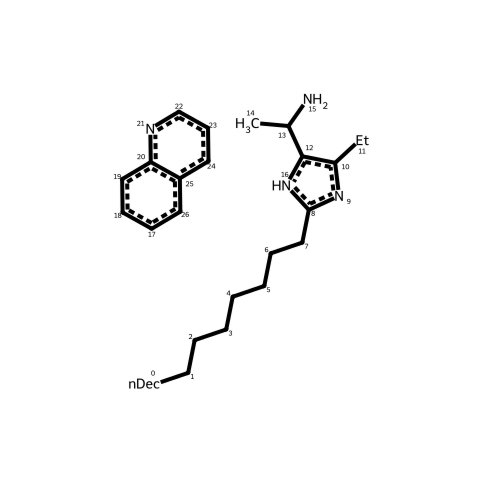 CCCCCCCCCCCCCCCCCc1nc(CC)c(C(C)N)[nH]1.c1ccc2ncccc2c1